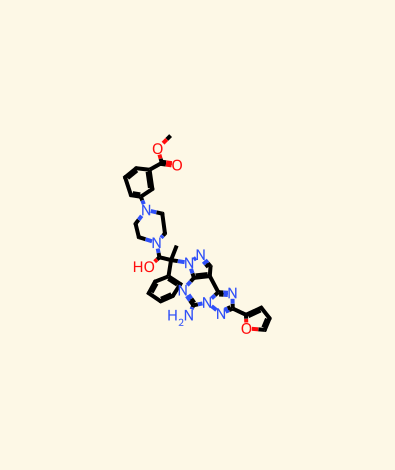 COC(=O)c1cccc(N2CCN(C(O)C(C)(c3ccccc3)n3ncc4c3nc(N)n3nc(-c5ccco5)nc43)CC2)c1